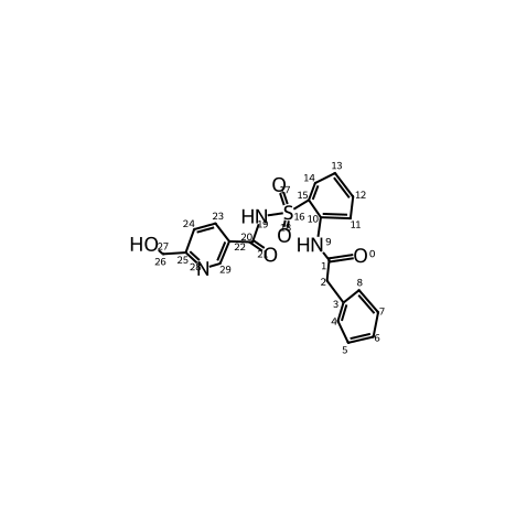 O=C(Cc1ccccc1)Nc1ccccc1S(=O)(=O)NC(=O)c1ccc(CO)nc1